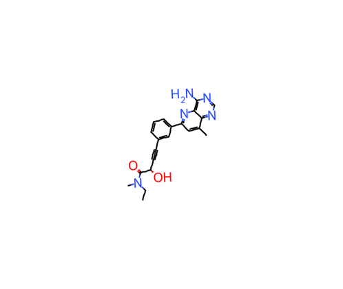 CCN(C)C(=O)[C@H](O)C#Cc1cccc(-c2cc(C)c3ncnc(N)c3n2)c1